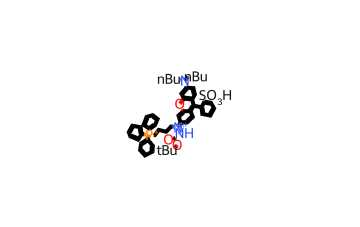 CCCCN(CCCC)c1ccc2c(-c3ccccc3S(=O)(=O)O)c3cc/c(=[N+](/CCCC[P+](c4ccccc4)(c4ccccc4)c4ccccc4)NC(=O)OC(C)(C)C)cc-3oc2c1